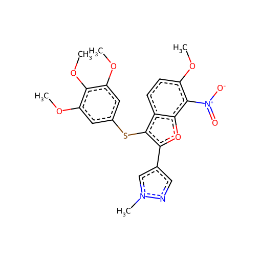 COc1cc(Sc2c(-c3cnn(C)c3)oc3c([N+](=O)[O-])c(OC)ccc23)cc(OC)c1OC